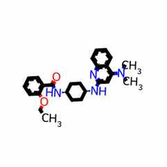 CCOc1ccccc1C(=O)N[C@H]1CC[C@@H](Nc2cc(N(C)C)c3ccccc3n2)CC1